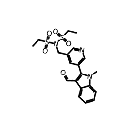 CCS(=O)(=O)N(Cc1cncc(-c2c(C=O)c3ccccc3n2C)c1)S(=O)(=O)CC